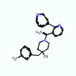 C=C(c1cccnc1-c1ccncc1)N1CCC(C#N)(Cc2cccc(C(F)(F)F)c2)CC1